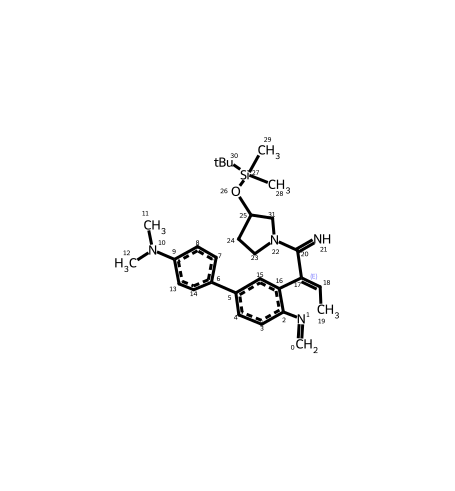 C=Nc1ccc(-c2ccc(N(C)C)cc2)cc1/C(=C\C)C(=N)N1CCC(O[Si](C)(C)C(C)(C)C)C1